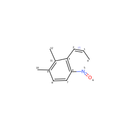 C/C=C\c1c(N=O)ccc(C)c1C